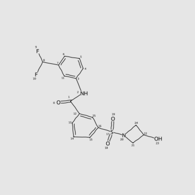 O=C(Nc1cccc(C(F)F)c1)c1cccc(S(=O)(=O)N2CC(O)C2)c1